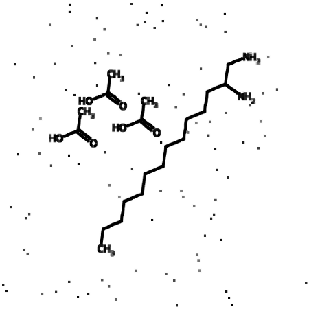 CC(=O)O.CC(=O)O.CC(=O)O.CCCCCCCCCCCCC(N)CN